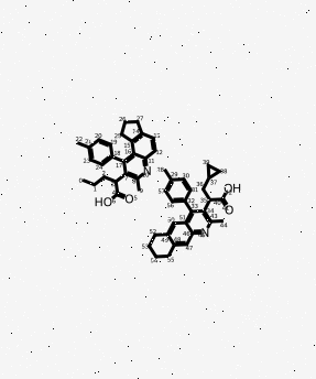 CCCC(C(=O)O)c1c(C)nc2ccc3c(c2c1-c1ccc(C)cc1)CCC3.Cc1ccc(-c2c(C(CC3CC3)C(=O)O)c(C)nc3cc4c(cc23)CCCC4)cc1